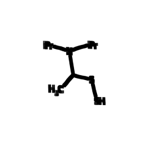 CC(C)N(C(C)C)C(C)SS